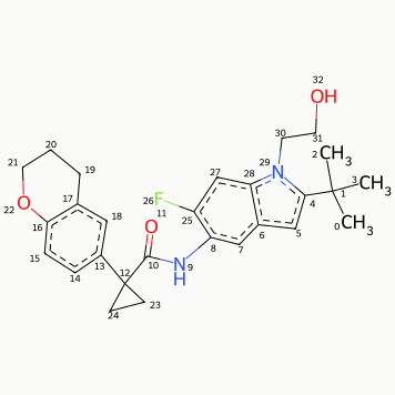 CC(C)(C)c1cc2cc(NC(=O)C3(c4ccc5c(c4)CCCO5)CC3)c(F)cc2n1CCO